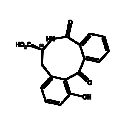 O=C1N[C@H](C(=O)O)Cc2cccc(O)c2C(=O)c2ccccc21